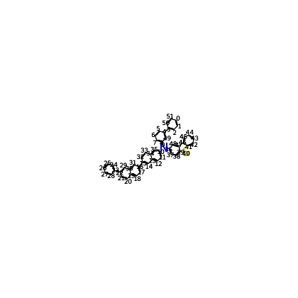 c1ccc(-c2cccc(N(c3ccc4cc(-c5ccc6ccc(-c7ccccc7)cc6c5)ccc4c3)c3ccc4sc5ccccc5c4c3)c2)cc1